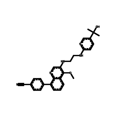 COc1c(NCCNc2ccc(C(C)(C)O)cn2)cnc2c(-c3ccc(C#N)cc3)cccc12